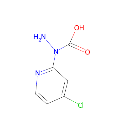 NN(C(=O)O)c1cc(Cl)ccn1